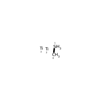 C[SiH3].[Ti].[Ti]